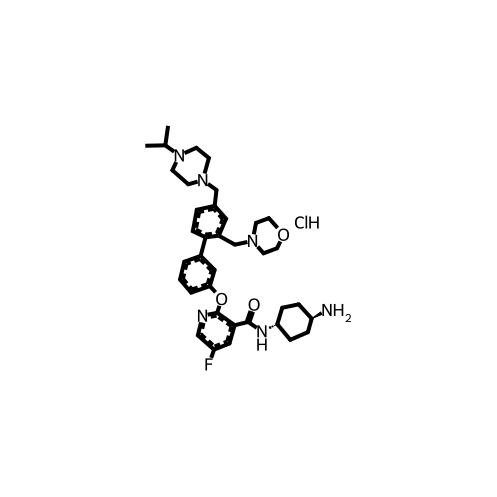 CC(C)N1CCN(Cc2ccc(-c3cccc(Oc4ncc(F)cc4C(=O)N[C@H]4CC[C@H](N)CC4)c3)c(CN3CCOCC3)c2)CC1.Cl